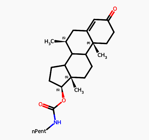 CCCCCNC(=O)O[C@H]1CCC2C3C(CC[C@@]21C)[C@@]1(C)CCC(=O)C=C1C[C@@H]3C